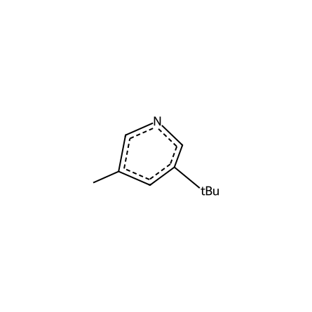 Cc1cncc(C(C)(C)C)c1